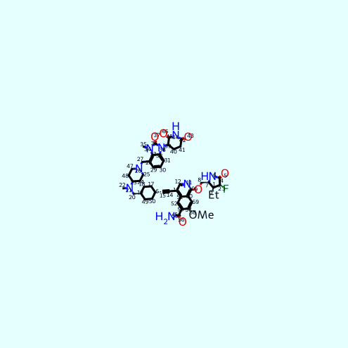 CC[C@@H]1[C@H](F)C(=O)N[C@@H]1COc1ncc(C#C[C@H]2CC[C@H](CN(C)C3CCN(Cc4cccc5c4n(C)c(=O)n5C4CCC(=O)NC4=O)CC3)CC2)c2cc(C(N)=O)c(OC)cc12